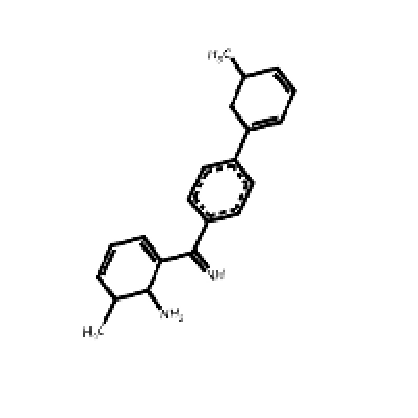 CC1C=CC=C(c2ccc(C(=N)C3=CC=CC(C)C3N)cc2)C1